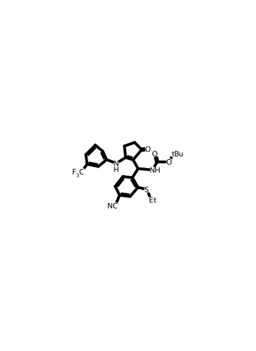 CCSc1cc(C#N)ccc1C(NC(=O)OC(C)(C)C)C1=C(Nc2cccc(C(F)(F)F)c2)CCC1=O